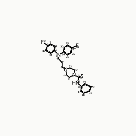 Fc1ccc(N(CCCN2CCN(C(=S)Nc3ccccc3)CC2)c2ccc(F)cc2)cc1